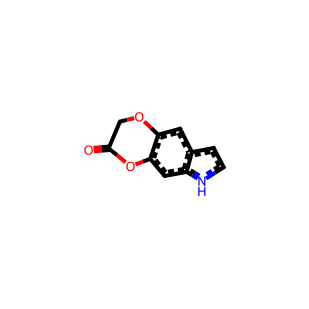 O=C1COc2cc3cc[nH]c3cc2O1